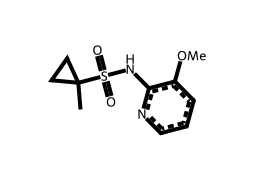 COc1cccnc1NS(=O)(=O)C1(C)CC1